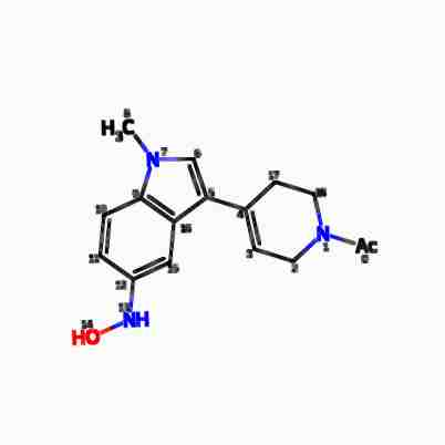 CC(=O)N1CC=C(c2cn(C)c3ccc(NO)cc23)CC1